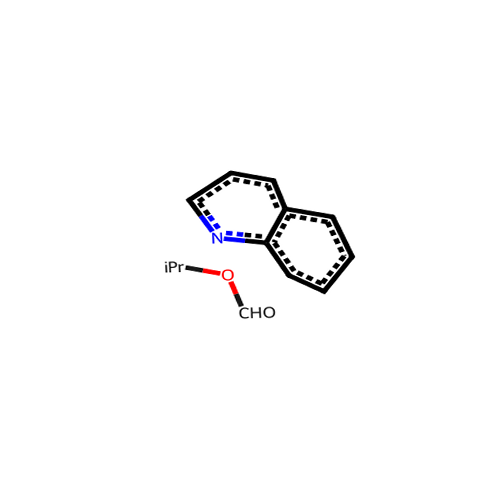 CC(C)OC=O.c1ccc2ncccc2c1